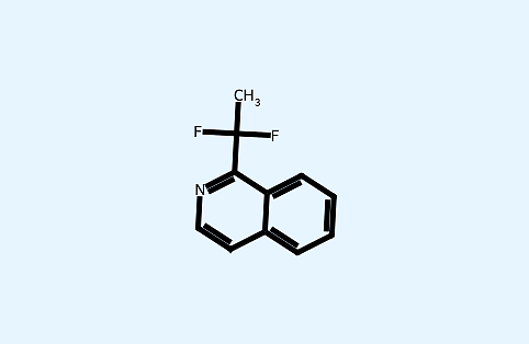 CC(F)(F)c1nc[c]c2ccccc12